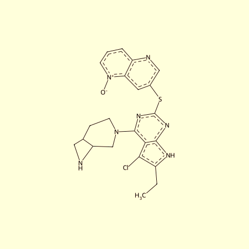 CCc1[nH]c2nc(Sc3cnc4ccc[n+]([O-])c4c3)nc(N3CCC4CNC4C3)c2c1Cl